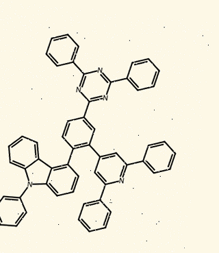 c1ccc(-c2cc(-c3cc(-c4nc(-c5ccccc5)nc(-c5ccccc5)n4)ccc3-c3cccc4c3c3ccccc3n4-c3ccccc3)cc(-c3ccccc3)n2)cc1